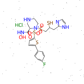 Cl.O=C(NO)[C@H]1CNCC[N+]1(S(=O)(=O)CC(S)Cc1ncc[nH]1)S(=O)(=O)c1ccc(-c2ccc(F)cc2)s1